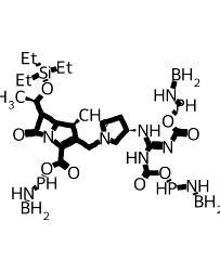 BNPOC(=O)/N=C(/NC(=O)OPNB)N[C@H]1CCN(CC2=C(C(=O)OPNB)N3C(=O)C([C@@H](C)O[Si](CC)(CC)CC)C3[C@H]2C)C1